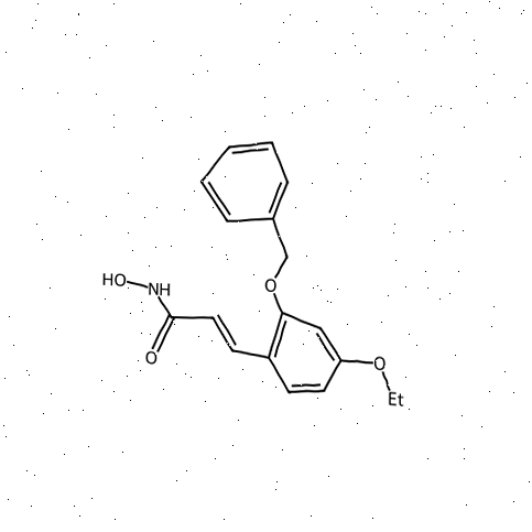 CCOc1ccc(/C=C/C(=O)NO)c(OCc2ccccc2)c1